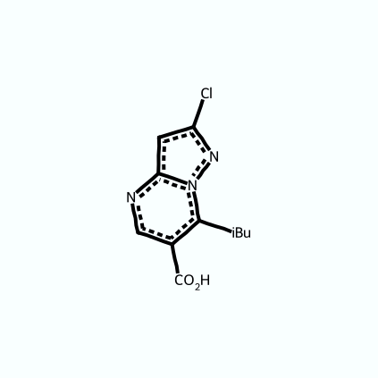 CCC(C)c1c(C(=O)O)cnc2cc(Cl)nn12